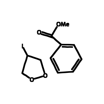 COC(=O)c1ccccc1.IC1COOC1